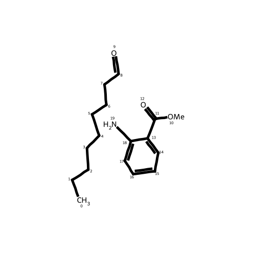 CCCCCCCCC=O.COC(=O)c1ccccc1N